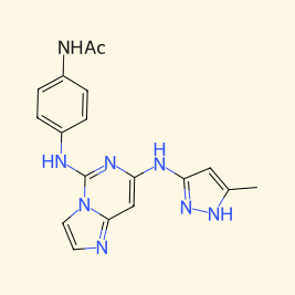 CC(=O)Nc1ccc(Nc2nc(Nc3cc(C)[nH]n3)cc3nccn23)cc1